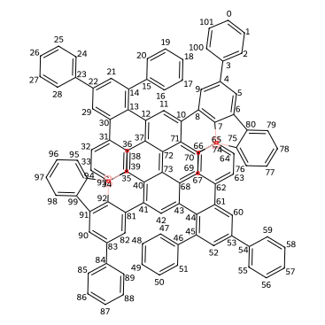 c1ccc(-c2cc3c4c(c2)-c2cc(-c5c(-c6ccccc6)cc(-c6ccccc6)cc5-c5ccccc5)c5cc6c7c(cc(-c8c(-c9ccccc9)cc(-c9ccccc9)cc8-c8ccccc8)c8cc(c2c5c87)B4c2ccccc2-3)-c2cc(-c3ccccc3)cc3c2B6c2ccccc2-3)cc1